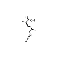 CC(=CCC(C)CN=C=O)C(=O)O